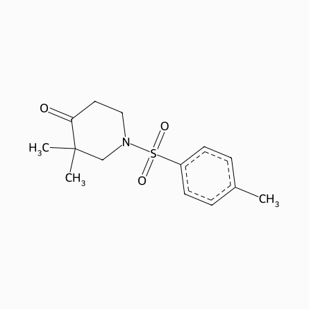 Cc1ccc(S(=O)(=O)N2CCC(=O)C(C)(C)C2)cc1